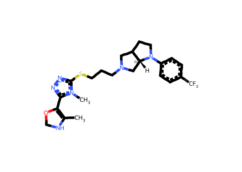 CC1=C(c2nnc(SCCCN3CC4CCN(c5ccc(C(F)(F)F)cc5)[C@@H]4C3)n2C)OCN1